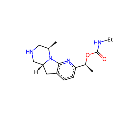 CCNC(=O)O[C@@H](C)c1ccc2c(n1)N1[C@@H](CNC[C@H]1C)C2